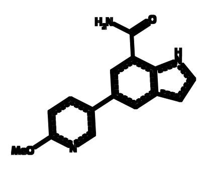 COc1ccc(-c2cc(C(N)=O)c3[nH]ccc3c2)cn1